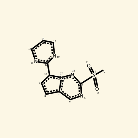 CS(=O)(=O)c1ncc2ccc(-c3ncccn3)n2n1